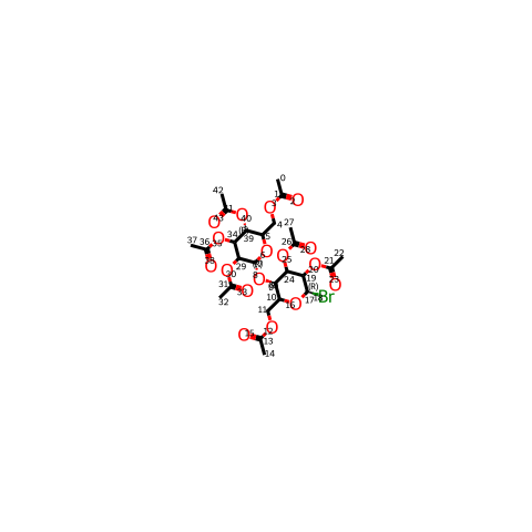 CC(=O)OCC1O[C@H](O[C@@H]2C(COC(C)=O)O[C@H](Br)C(OC(C)=O)C2OC(C)=O)C(OC(C)=O)C(OC(C)=O)[C@@H]1OC(C)=O